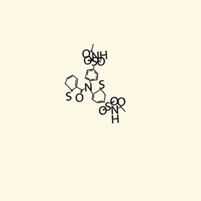 CC(=O)NS(=O)(=O)C1=CC=C(N(C(=O)C2=CC=CCC2=S)c2ccc(S(=O)(=O)NC(C)=O)cc2)C(=S)C1